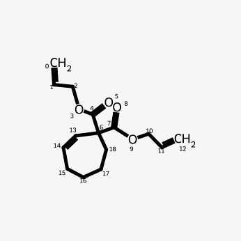 C=CCOC(=O)C1(C(=O)OCC=C)C=CCCCC1